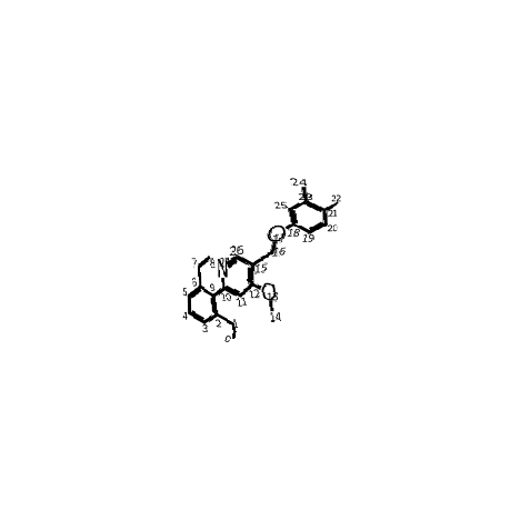 CCc1cccc(CC)c1-c1cc(OC)c(COc2ccc(C)c(C)c2)cn1